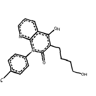 Cc1ccc(-n2c(=O)c(CCCCO)c(O)c3cccnc32)cc1